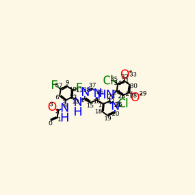 C=CC(=O)Nc1cc(F)cc(F)c1Nc1cc(-c2cccnc2Nc2c(Cl)c(OC)cc(OC)c2Cl)ncn1